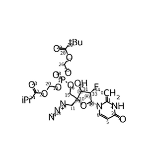 C=C1NC(=O)C=CN1[C@@H]1O[C@](CN=[N+]=[N-])(COP(=O)(OCOC(=O)C(C)C)OCOC(=O)C(C)(C)C)[C@@H](O)[C@H]1F